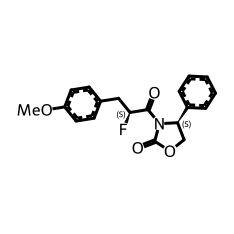 COc1ccc(C[C@H](F)C(=O)N2C(=O)OC[C@@H]2c2ccccc2)cc1